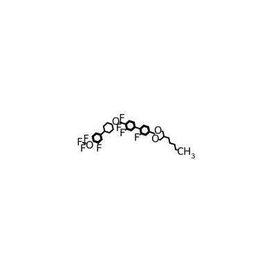 CCCCCC1COC(c2ccc(-c3ccc(C(F)(F)OC4CCC(c5ccc(OC(F)(F)F)c(F)c5)CC4)c(F)c3)c(F)c2)OC1